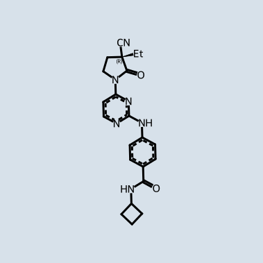 CC[C@]1(C#N)CCN(c2ccnc(Nc3ccc(C(=O)NC4CCC4)cc3)n2)C1=O